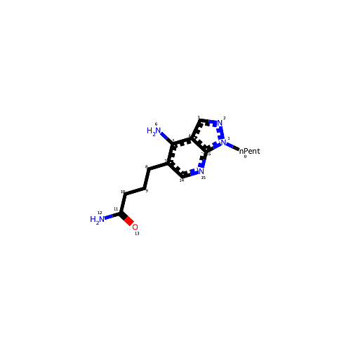 CCCCCn1ncc2c(N)c(CCCC(N)=O)cnc21